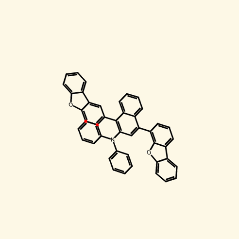 c1ccc(N(c2ccccc2)c2cc(-c3cccc4c3oc3ccccc34)c3ccccc3c2-c2ccc3oc4ccccc4c3c2)cc1